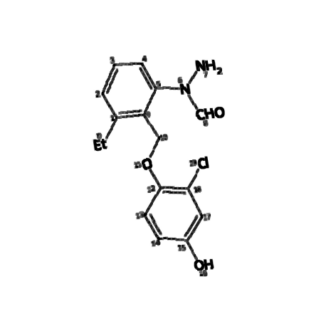 CCc1cccc(N(N)C=O)c1COc1ccc(O)cc1Cl